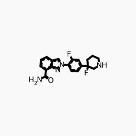 NC(=O)c1cccc2cn(-c3ccc(C4(F)CCCNC4)cc3F)nc12